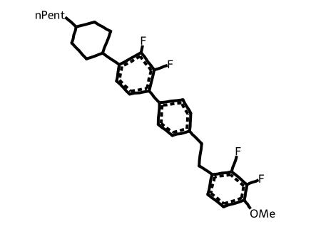 CCCCCC1CCC(c2ccc(-c3ccc(CCc4ccc(OC)c(F)c4F)cc3)c(F)c2F)CC1